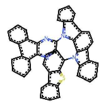 c1ccc2c(c1)sc1c(-n3c4ccccc4c4ccc5c6ccccc6n(-c6cnc7c8ccccc8c8ccccc8c7n6)c5c43)cccc12